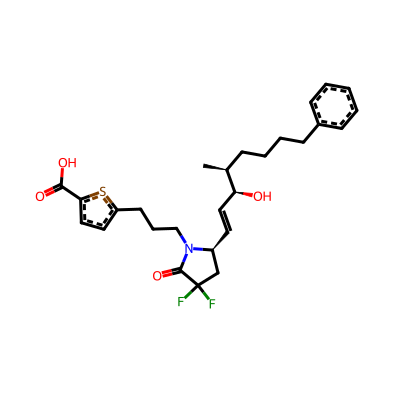 C[C@@H](CCCCc1ccccc1)[C@@H](O)/C=C/[C@H]1CC(F)(F)C(=O)N1CCCc1ccc(C(=O)O)s1